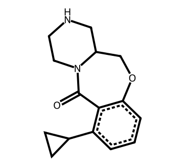 O=C1c2c(cccc2C2CC2)OCC2CNCCN12